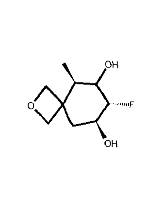 C[C@H]1C(O)[C@H](F)[C@@H](O)CC12COC2